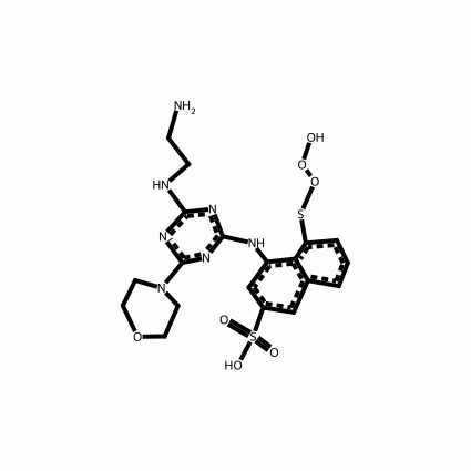 NCCNc1nc(Nc2cc(S(=O)(=O)O)cc3cccc(SOOO)c23)nc(N2CCOCC2)n1